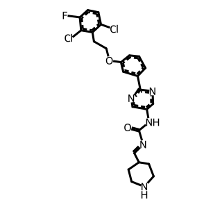 O=C(N=CC1CCNCC1)Nc1cnc(-c2cccc(OCCc3c(Cl)ccc(F)c3Cl)c2)nc1